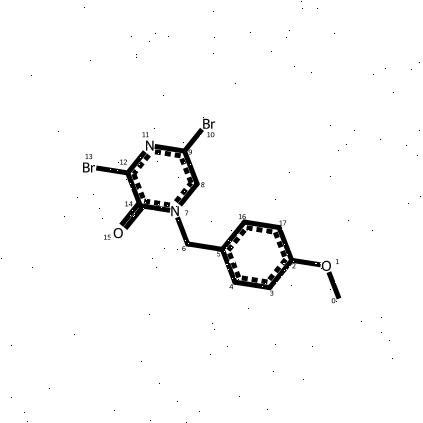 COc1ccc(Cn2cc(Br)nc(Br)c2=O)cc1